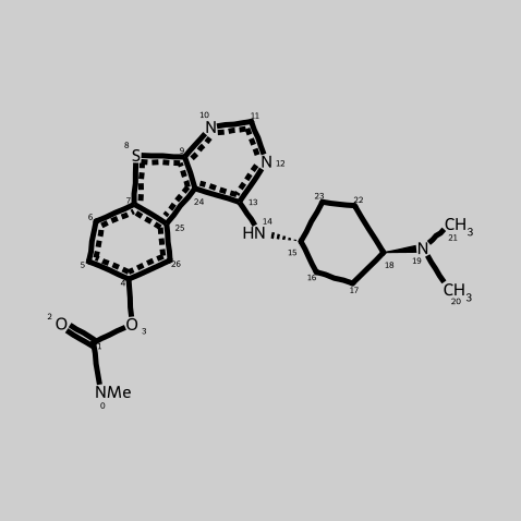 CNC(=O)Oc1ccc2sc3ncnc(N[C@H]4CC[C@H](N(C)C)CC4)c3c2c1